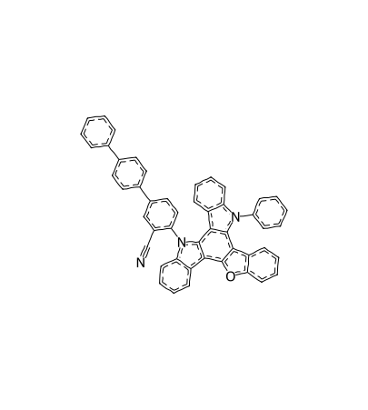 N#Cc1cc(-c2ccc(-c3ccccc3)cc2)ccc1-n1c2ccccc2c2c3oc4ccccc4c3c3c(c4ccccc4n3-c3ccccc3)c21